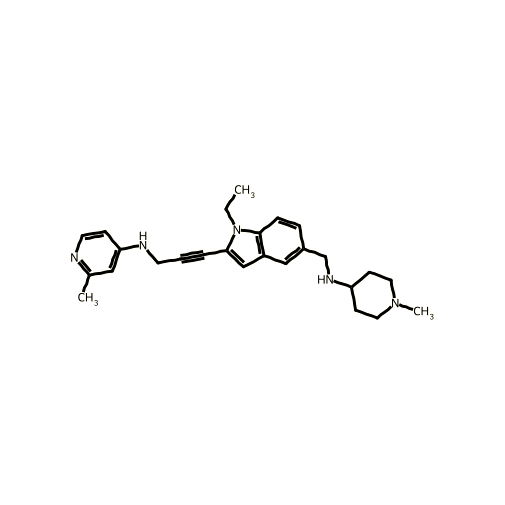 CCn1c(C#CCNc2ccnc(C)c2)cc2cc(CNC3CCN(C)CC3)ccc21